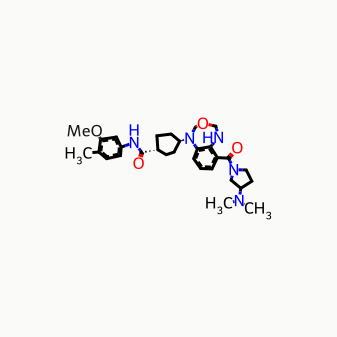 COc1cc(NC(=O)[C@H]2CC[C@@H](N3COCNc4c(C(=O)N5CCC(N(C)C)C5)cccc43)CC2)ccc1C